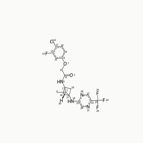 C[C@@H]1C2(NC(=O)COc3ccc(Cl)c(F)c3)CC1(Nc1cnc(C(F)(F)F)cn1)C2